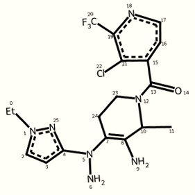 CCn1ccc(N(N)C2=C(N)C(C)N(C(=O)c3ccnc(C(F)(F)F)c3Cl)CC2)n1